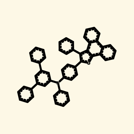 c1ccc(-c2cc(-c3ccccc3)cc(N(c3ccccc3)c3ccc(-c4oc5c6ccccc6c6ccccc6c5c4-c4ccccc4)cc3)c2)cc1